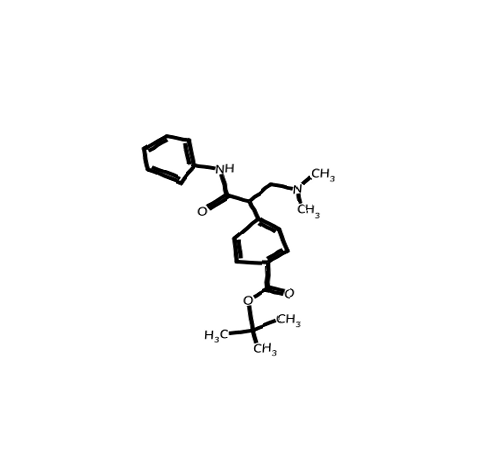 CN(C)CC(C(=O)Nc1ccccc1)c1ccc(C(=O)OC(C)(C)C)cc1